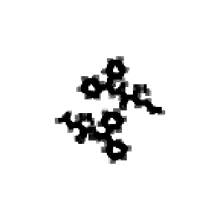 CC(C)C[C@H](N)C(=O)NCC(c1ccccc1)c1ccccc1.CSCC[C@H](N)C(=O)N(C)CC(c1ccccc1)c1ccccc1